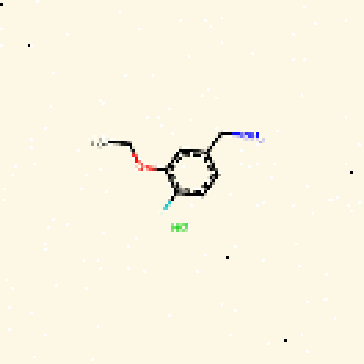 Cl.NCc1ccc(F)c(OCC(F)(F)F)c1